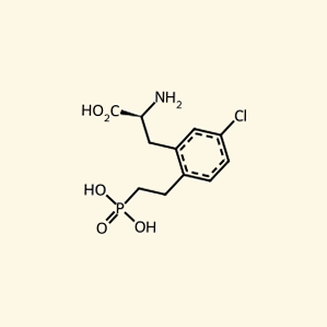 N[C@@H](Cc1cc(Cl)ccc1CCP(=O)(O)O)C(=O)O